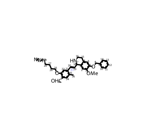 COc1cc2c(cc1OCc1ccccc1)CCNC2/C=C/c1cc(OCCCCN=[N+]=[N-])c(C=O)cc1C